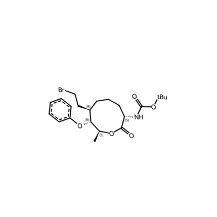 C[C@@H]1OC(=O)[C@@H](NC(=O)OC(C)(C)C)CCC[C@H](CCBr)[C@H]1Oc1ccccc1